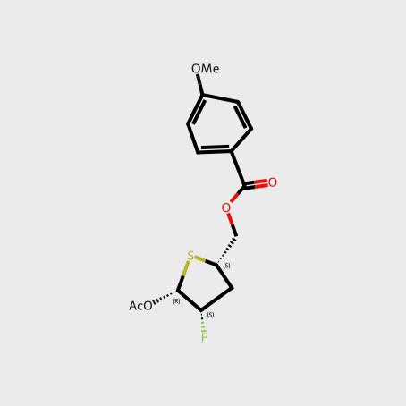 COc1ccc(C(=O)OC[C@@H]2C[C@H](F)[C@H](OC(C)=O)S2)cc1